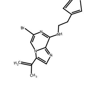 C=C(C)c1cnc2c(NCCc3cc[nH]c3)nc(Br)cn12